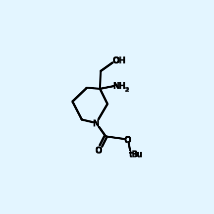 CC(C)(C)OC(=O)N1CCCC(N)(CO)C1